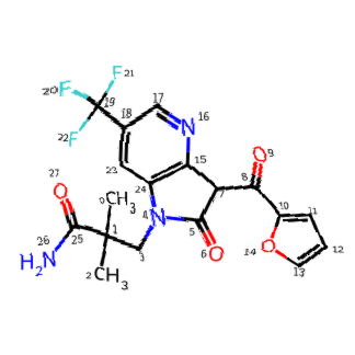 CC(C)(CN1C(=O)C(C(=O)c2ccco2)c2ncc(C(F)(F)F)cc21)C(N)=O